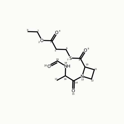 CCOC(=O)CCSC(=O)C1CCN1C(=O)C(C)NC=O